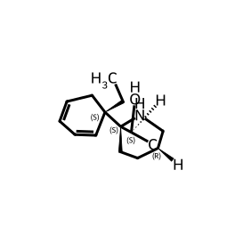 CC[C@@]1([C@]23CC[C@@H](CN2)C[C@@H]3O)C=CC=CC1